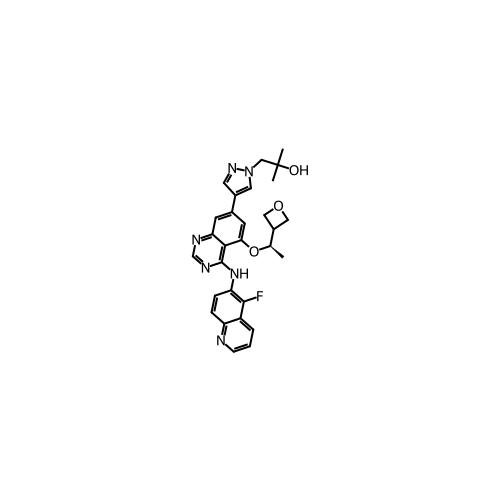 C[C@@H](Oc1cc(-c2cnn(CC(C)(C)O)c2)cc2ncnc(Nc3ccc4ncccc4c3F)c12)C1COC1